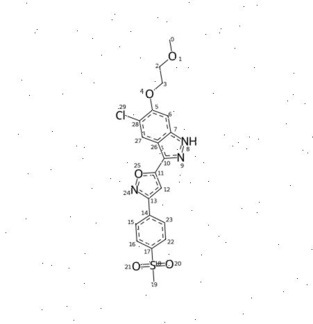 COCCOc1cc2[nH]nc(-c3cc(-c4ccc(S(C)(=O)=O)cc4)no3)c2cc1Cl